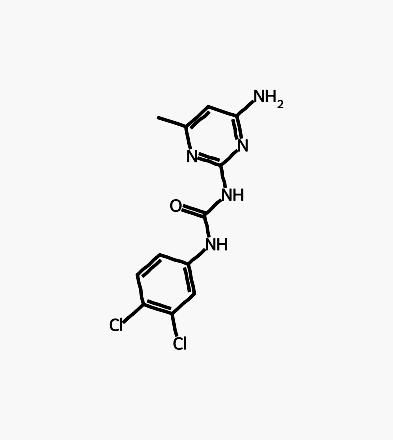 Cc1cc(N)nc(NC(=O)Nc2ccc(Cl)c(Cl)c2)n1